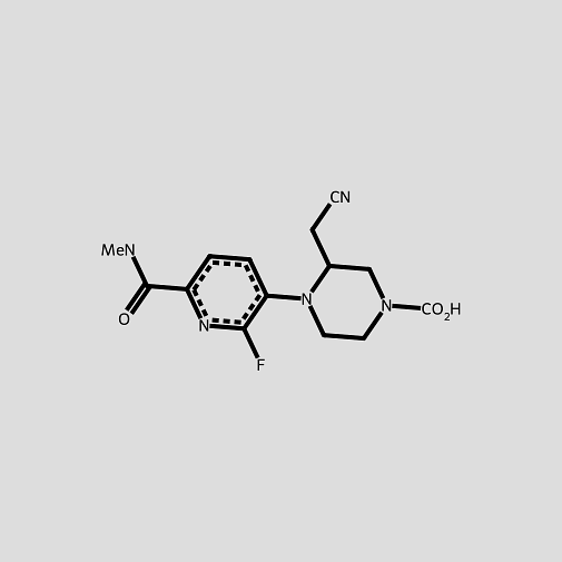 CNC(=O)c1ccc(N2CCN(C(=O)O)CC2CC#N)c(F)n1